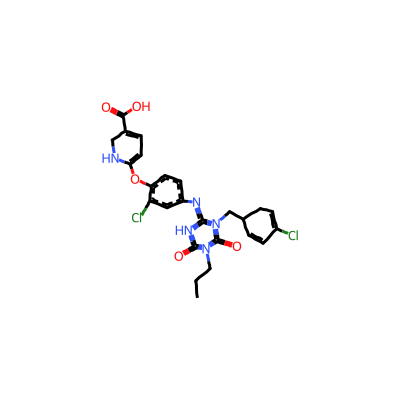 CCCn1c(=O)[nH]/c(=N\c2ccc(OC3=CC=C(C(=O)O)CN3)c(Cl)c2)n(CC2C=CC(Cl)=CC2)c1=O